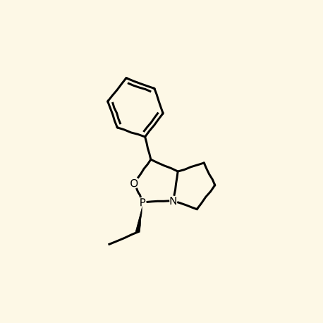 CC[P@@]1OC(c2ccccc2)C2CCCN21